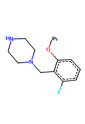 CC(C)Oc1cccc(F)c1CN1CCNCC1